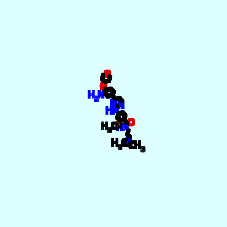 COc1cc(Nc2nccc(-c3ccc(OC4CCOCC4)c(N)c3)n2)ccc1C(=O)NCCCN(C)C